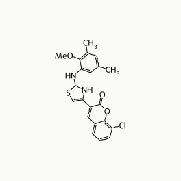 COc1c(C)cc(C)cc1NC1NC(c2cc3cccc(Cl)c3oc2=O)=CS1